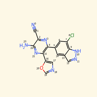 N#Cc1nc(-c2cc(Cl)c3[nH]ncc3c2)c(-c2cnco2)nc1N